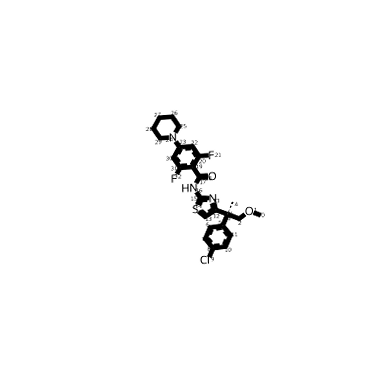 COC[C@@](C)(c1ccc(Cl)cc1)c1csc(NC(=O)c2c(F)cc(N3CCCCC3)cc2F)n1